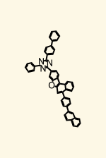 c1ccc(-c2ccc(-c3nc(-c4ccccc4)nc(-c4ccc5c(c4)oc4cc(-c6ccc(-c7ccc8ccccc8c7)cc6)c6ccccc6c45)n3)cc2)cc1